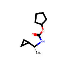 C[C@@H](NC(=O)OC1CCCC1)C1CC1